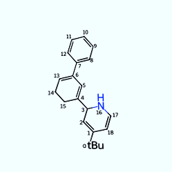 CC(C)(C)C1=CC(C2=CC(c3ccccc3)=CCC2)NC=C1